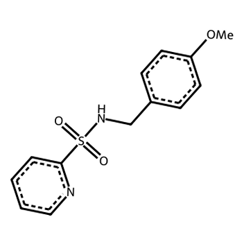 COc1ccc(CNS(=O)(=O)c2ccccn2)cc1